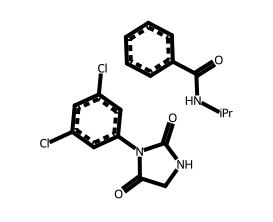 CC(C)NC(=O)c1ccccc1.O=C1CNC(=O)N1c1cc(Cl)cc(Cl)c1